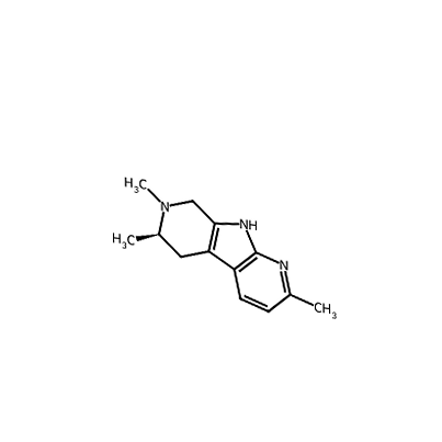 Cc1ccc2c3c([nH]c2n1)CN(C)[C@H](C)C3